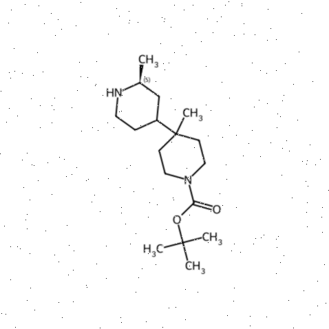 C[C@H]1CC(C2(C)CCN(C(=O)OC(C)(C)C)CC2)CCN1